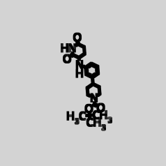 CC(C)(C)OC(=O)N1CCC(c2cccc(NC3CCC(=O)NC3=O)c2)CC1